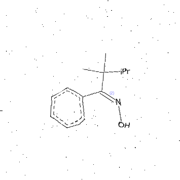 CC(C)C(C)(C)/C(=N/O)c1ccccc1